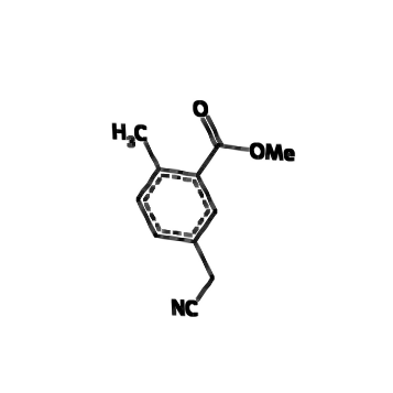 COC(=O)c1cc(CC#N)ccc1C